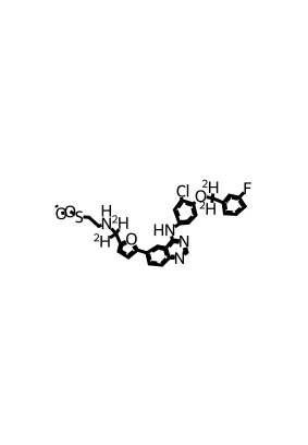 [2H]C([2H])(NCCSOOC)c1ccc(-c2ccc3ncnc(Nc4ccc(OC([2H])([2H])c5cccc(F)c5)c(Cl)c4)c3c2)o1